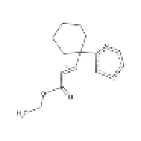 CCOC(=O)/C=C/C1(c2ccccn2)CCCCC1